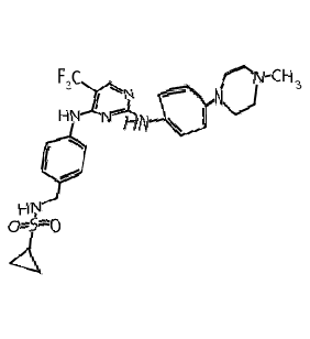 CN1CCN(c2ccc(Nc3ncc(C(F)(F)F)c(Nc4ccc(CNS(=O)(=O)C5CC5)cc4)n3)cc2)CC1